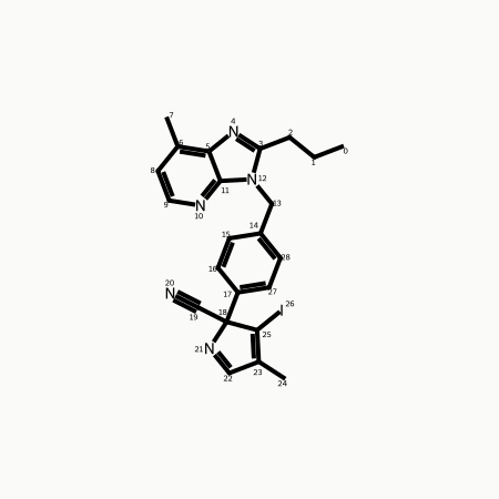 CCCc1nc2c(C)ccnc2n1Cc1ccc(C2(C#N)N=CC(C)=C2I)cc1